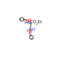 CCOC(=O)[C@@H](CCCCNC(=O)OC[C@@H]1[C@]2(C)CC/C=C\CC[C@]12C)NC(=O)OCC1[C@]2(C)CCC#CCC[C@]12C